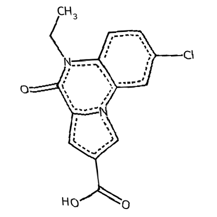 CCn1c(=O)c2cc(C(=O)O)cn2c2cc(Cl)ccc21